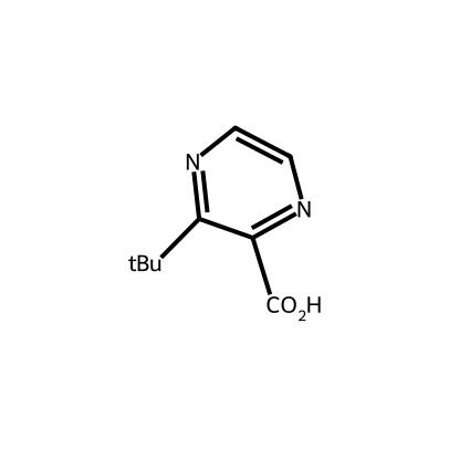 CC(C)(C)c1nccnc1C(=O)O